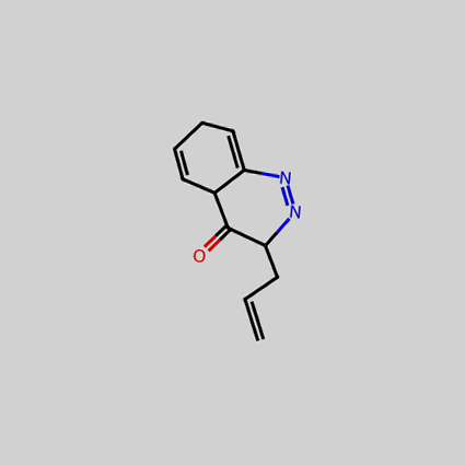 C=CCC1N=NC2=CCC=CC2C1=O